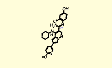 COc1ccc(-c2cc3c(NC4CCCCC4)c(/C(N)=N/c4ccc(O)cc4Cl)cnn3c2)cn1